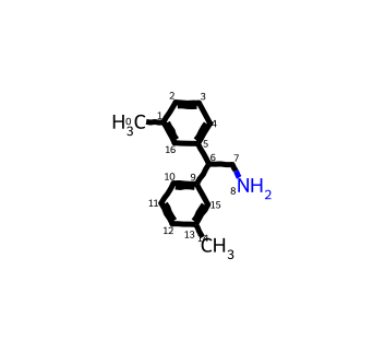 Cc1cccc(C(CN)c2cccc(C)c2)c1